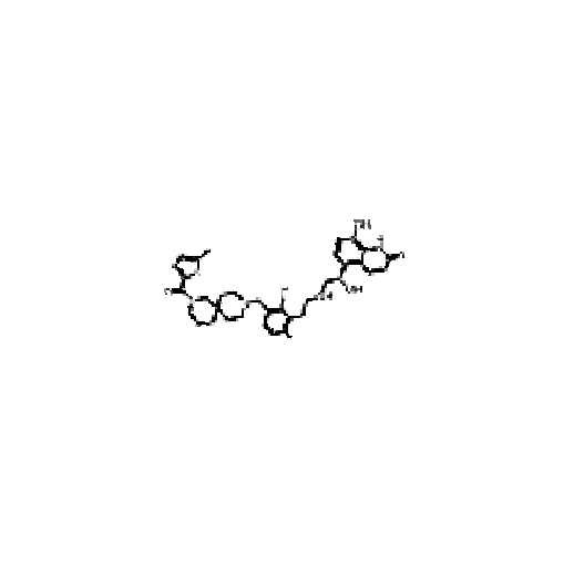 Cc1ccc(C(=O)N2CCCC3(CCN(Cc4ccc(F)c(CCNC[C@H](O)c5ccc(O)c6[nH]c(=O)ccc56)c4F)CC3)C2)s1